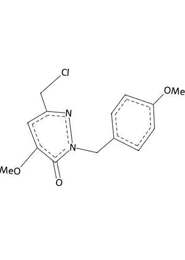 COc1ccc(Cn2nc(CCl)cc(OC)c2=O)cc1